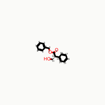 O=C(OCc1ccccc1)[C@@H](CO)c1ccccc1